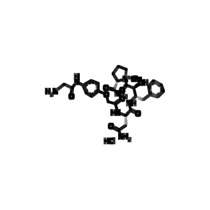 CC(C)(C)[N+]1(C(=O)[C@@H](O)[C@H](Cc2ccccc2)NC(=O)[C@H](CC(N)=O)NC(=O)COc2ccc(NC(=O)CN)cc2)CCC[C@H]1C(N)=O.Cl